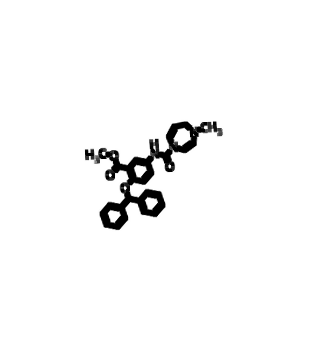 COC(=O)c1cc(NC(=O)N2C=CCN(C)C=C2)ccc1OC(c1ccccc1)c1ccccc1